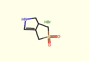 Br.O=S1(=O)CC2=CNCC2C1